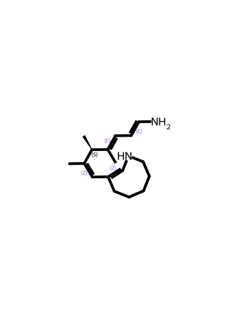 C/C(=C/C1=C\NCCCCC1)[C@@H](C)/C(C)=C/C=C/N